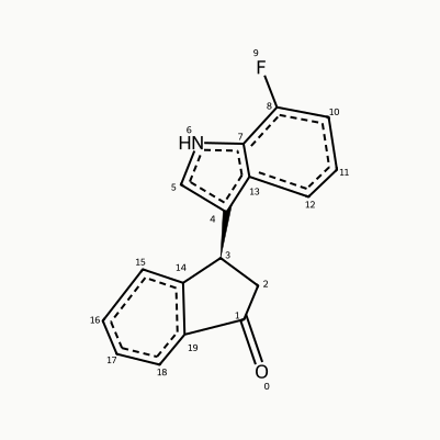 O=C1C[C@H](c2c[nH]c3c(F)cccc23)c2ccccc21